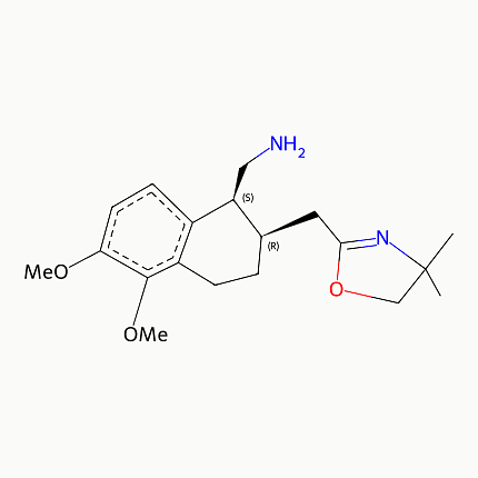 COc1ccc2c(c1OC)CC[C@H](CC1=NC(C)(C)CO1)[C@@H]2CN